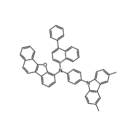 Cc1ccc2c(c1)c1cc(C)ccc1n2-c1ccc(N(c2ccc(-c3ccccc3)c3ccccc23)c2cccc3c2oc2c4ccccc4ccc32)cc1